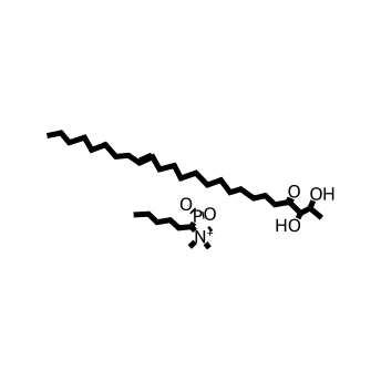 CCCCCC(P(=O)=O)[N+](C)(C)C.CCCCCCCCC=CCCCCCCCCCCCC(=O)C(O)C(C)O